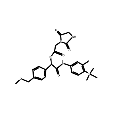 COCc1ccc([C@@H](NC(=O)CN2C(=O)CNC2=O)C(=O)Nc2ccc([Si](C)(C)C)c(F)c2)cc1